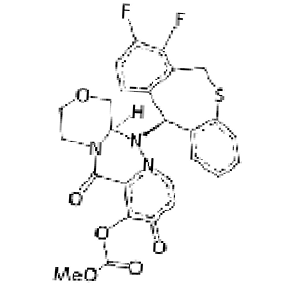 COC(=O)Oc1c2n(ccc1=O)N([C@@H]1c3ccccc3SCc3c1ccc(F)c3F)[C@@H]1COCCN1C2=O